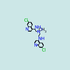 CN(CCNc1ccnc2cc(Cl)ccc12)CC(N)c1ccnc2cc(Cl)ccc12